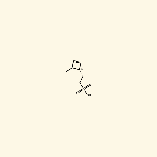 CC1C=C[C@@H]1CCS(=O)(=O)O